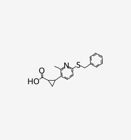 Cc1nc(SCc2ccccc2)ccc1C1CC1C(=O)O